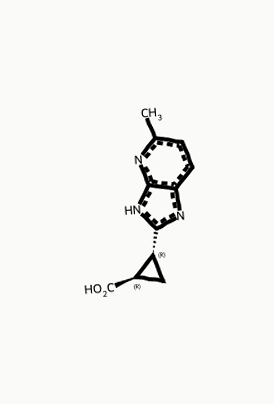 Cc1ccc2nc([C@@H]3C[C@H]3C(=O)O)[nH]c2n1